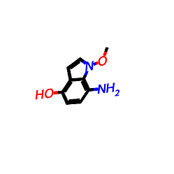 COn1ccc2c(O)ccc(N)c21